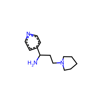 NC(CCN1CCCCC1)c1ccncc1